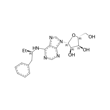 CC[C@H](Cc1ccccc1)Nc1ncnc2c1ncn2[C@@H]1O[C@H](CO)[C@@H](O)[C@H]1O